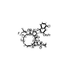 CCCOc1cc2c(Cl)cccc2c(O[C@@H]2C[C@H]3C(=O)N[C@]4(C(=O)NS(=O)(=O)C5CC5)C[C@H]4/C=C\CC[C@@H](C)C[C@@H](C)[C@H](N(C(=O)O)[C@H](C)C(F)(F)F)C(=O)N3C2)n1